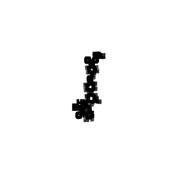 CN1C[C@H](Nc2nc3sccn3c(=O)c2Br)C[C@H](c2ccc(OCC3CCN(C(=O)OC(C)(C)C)CC3)cc2)C1